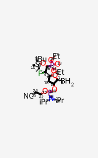 B[C@@H]1O[C@H](C(F)C(O[Si](C)(C)C(C)(C)C)P(=O)(OCC)OCC)CC1OP(OCCC#N)N(C(C)C)C(C)C